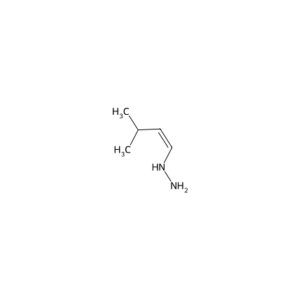 CC(C)/C=C\NN